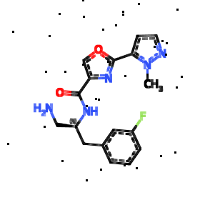 Cn1nccc1-c1nc(C(=O)N[C@H](CN)Cc2cccc(F)c2)co1